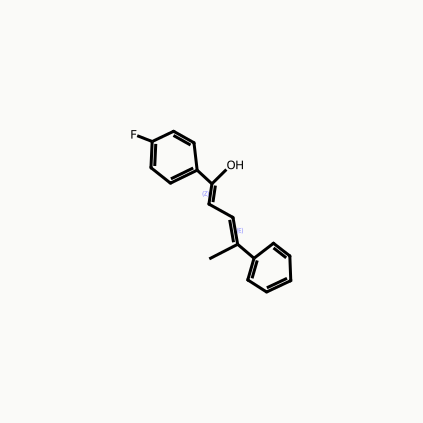 C/C(=C\C=C(/O)c1ccc(F)cc1)c1ccccc1